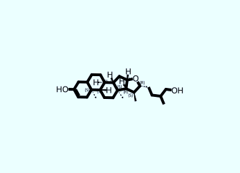 CC(CO)CC[C@H]1O[C@H]2C[C@H]3[C@@H]4CCC5CC(O)=CC[C@]5(C)[C@H]4CC[C@]3(C)[C@H]2[C@@H]1C